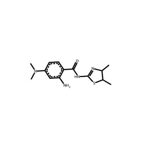 CC1N=C(NC(=O)c2ccc(N(C)C)cc2N)SC1C